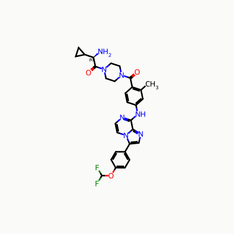 Cc1cc(Nc2nccn3c(-c4ccc(OC(F)F)cc4)cnc23)ccc1C(=O)N1CCN(C(=O)[C@H](N)C2CC2)CC1